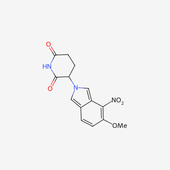 COc1ccc2cn(C3CCC(=O)NC3=O)cc2c1[N+](=O)[O-]